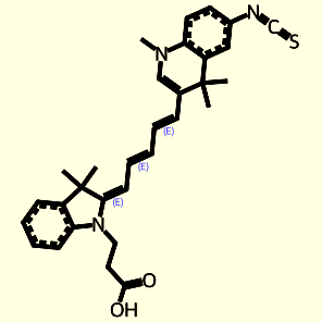 CN1C=C(/C=C/C=C/C=C2/N(CCC(=O)O)c3ccccc3C2(C)C)C(C)(C)c2cc(N=C=S)ccc21